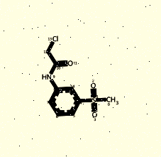 CS(=O)(=O)c1cccc(NC(=O)CCl)c1